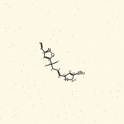 C=Cc1cc(C(C)(C)C/C=C/c2cc(C(C)(C)C)sn2)on1